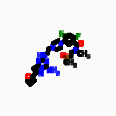 CN(CC[S@+](C)[O-])C(=O)c1cc(N2CCN(CCNc3nc(N)n4nc(-c5ccco5)cc4n3)CC2)c(F)cc1F